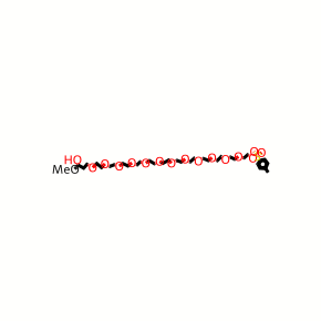 COC(O)CCOCCOCCOCCOCCOCCOCCOCCOCCOCCOCCOCCOCCOS(=O)(=O)c1ccc(C)cc1